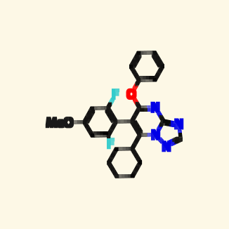 COc1cc(F)c(-c2c(Oc3ccccc3)nc3ncnn3c2C2CCCCC2)c(F)c1